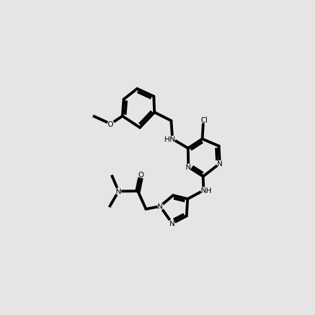 COc1cccc(CNc2nc(Nc3cnn(CC(=O)N(C)C)c3)ncc2Cl)c1